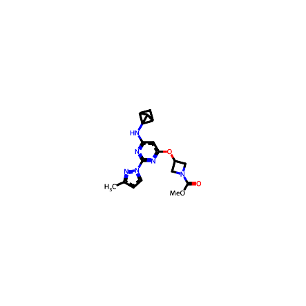 COC(=O)N1CC(Oc2cc(NC3C4CC3C4)nc(-n3ccc(C)n3)n2)C1